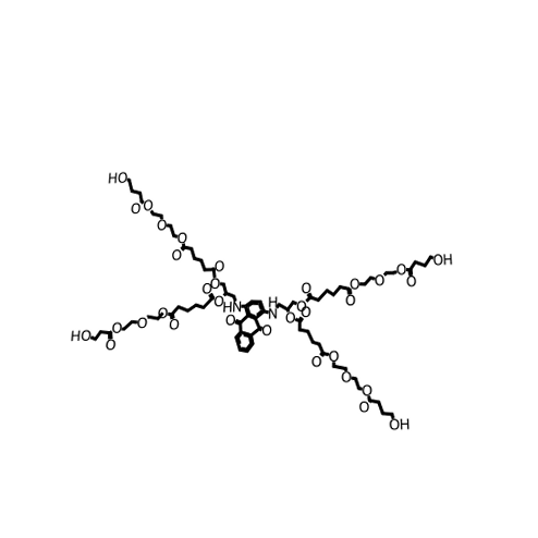 O=C(CCO)OCCOCCOC(=O)CCCCC(=O)OC(CNc1ccc(NCC(COC(=O)CCCCC(=O)OCCOCCOC(=O)CCCO)OC(=O)CCCCC(=O)OCCOCCOC(=O)CCCO)c2c1C(=O)c1ccccc1C2=O)COC(=O)CCCCC(=O)OCCOCCOC(=O)CCCO